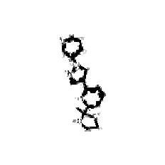 CC1(c2cccc(-c3cnn(-c4cccnc4)c3)n2)OCCO1